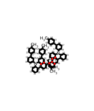 CCC(CC)(c1ccc(-c2ccccc2N(c2cccc(-c3ccc(C)cc3)c2)c2cccc(-c3ccc(C)cc3)c2)cc1)c1ccc(-c2ccccc2N(c2cccc(-c3ccc(C)cc3)c2)c2cccc(-c3ccc(C)cc3)c2)cc1